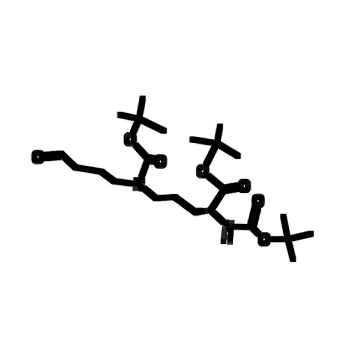 CC(C)(C)OC(=O)N[C@@H](CCCN(CCCC=O)C(=O)OC(C)(C)C)C(=O)OC(C)(C)C